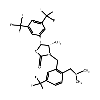 C[C@H]1[C@@H](c2cc(C(F)(F)F)cc(C(F)(F)F)c2)OC(=O)N1Cc1cc(C(F)(F)F)ccc1CN(C)C